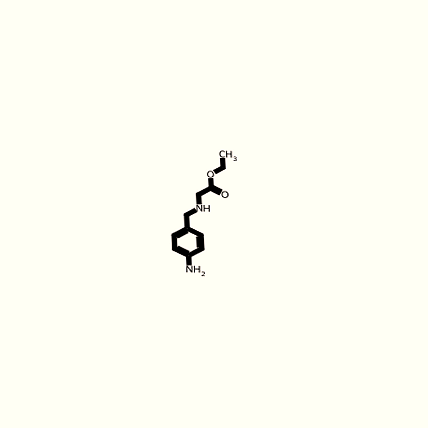 CCOC(=O)CNCc1ccc(N)cc1